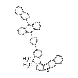 CC1(C)c2cc(-c3ccc(-c4c5ccccc5c(-c5ccc6ccccc6c5)c5ccccc45)cc3)ccc2-c2c1ccc1sc3cc4ccccc4cc3c21